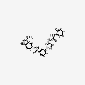 Cc1n[nH]c2ccc(NC(=O)c3cccc(-n4cc(NC(=O)Nc5ccccc5Cl)cn4)c3)cc12